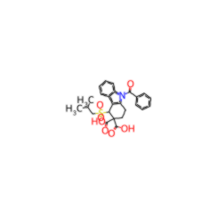 CC(C)CS(=O)(=O)C1c2c(n(C(=O)c3ccccc3)c3ccccc23)CCC1(C(=O)O)C(=O)O